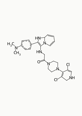 CN(C)c1ccc(C2=C(NCC(=O)N3CCN(C4=C(Cl)CNC=C4Cl)CC3)N3C=CC=CC3N2)cc1